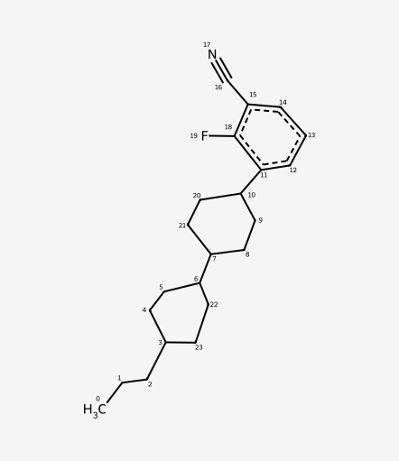 CCCC1CCC(C2CCC(c3cccc(C#N)c3F)CC2)CC1